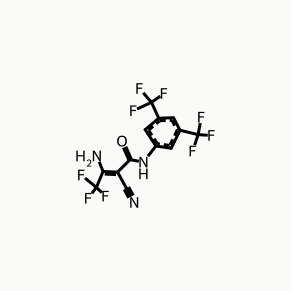 N#C/C(C(=O)Nc1cc(C(F)(F)F)cc(C(F)(F)F)c1)=C(/N)C(F)(F)F